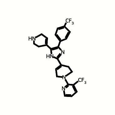 FC(F)(F)c1ccc(-c2nc(C3=CCN(c4ncccc4C(F)(F)F)CC3)[nH]c2C2=CCNCC2)cc1